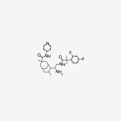 CC1CC2CC(CC(C)(C(=O)Nc3ccncc3)C2)C1C(N)CNC(=O)C(C)(C)c1ccc(F)cc1F